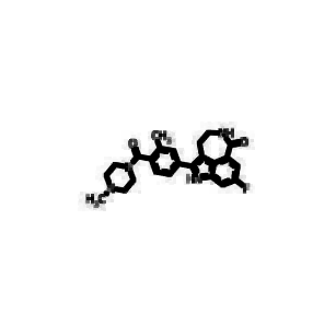 Cc1cc(-c2[nH]c3cc(F)cc4c3c2CCNC4=O)ccc1C(=O)N1CCN(C)CC1